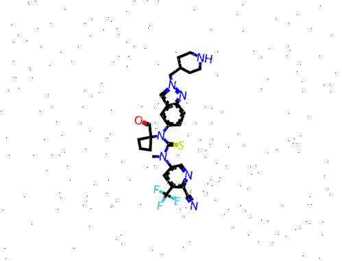 CN(C(=S)N(c1ccc2nn(CC3CCNCC3)cc2c1)C1(C=O)CCC1)c1cnc(C#N)c(C(F)(F)F)c1